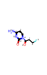 Nc1ccn(C(=O)CCF)c(=O)n1